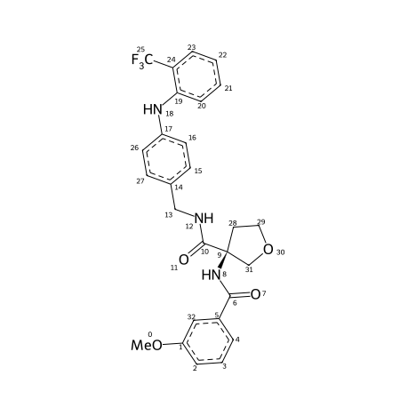 COc1cccc(C(=O)N[C@@]2(C(=O)NCc3ccc(Nc4ccccc4C(F)(F)F)cc3)CCOC2)c1